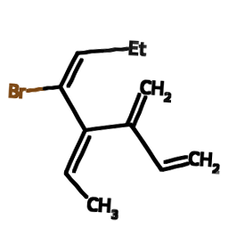 C=CC(=C)C(=C\C)/C(Br)=C\CC